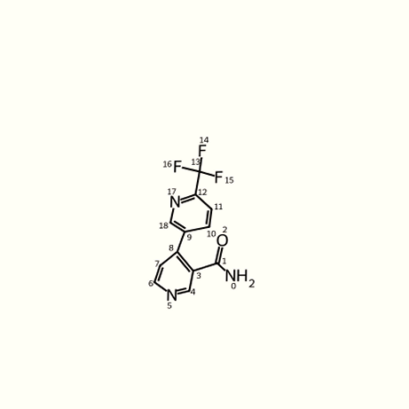 NC(=O)c1cnccc1-c1ccc(C(F)(F)F)nc1